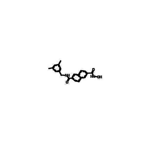 Cc1cc(C)cc(CNC(=O)c2ccc3cc(C(=O)NO)ccc3c2)c1